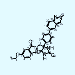 CCOc1ccc2c(c1)C(=O)N(C[C@@]1(c3ccc(-c4ccc5nn(C)cc5c4)cc3)NC(=O)NC1=O)C2